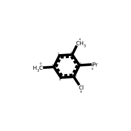 Cc1cc(C)c(C(C)C)c(Cl)c1